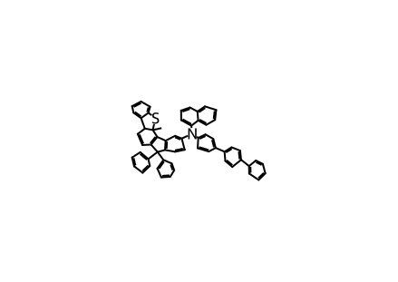 CC12Sc3ccccc3C1C=CC1=C2c2cc(N(c3ccc(-c4ccc(-c5ccccc5)cc4)cc3)c3cccc4ccccc34)ccc2C1(c1ccccc1)c1ccccc1